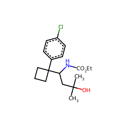 CCOC(=O)NC(CC(C)(C)O)C1(c2ccc(Cl)cc2)CCC1